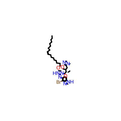 CCCCCCCC/C=C\CCCCCCCC(=O)OCC(Cc1cncn1C)[C@H](CC)C(=O)N1CCN/C1=N/c1ccc2[nH]cnc2c1Br